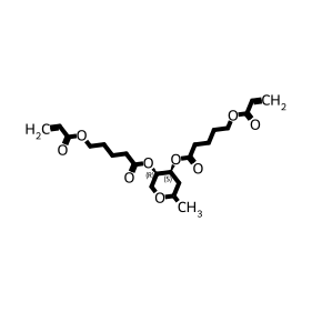 C=CC(=O)OCCCCC(=O)O[C@H]1CC(C)OC[C@H]1OC(=O)CCCCOC(=O)C=C